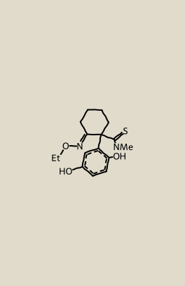 CCON=C1CCCCC1(C(=S)NC)c1cc(O)ccc1O